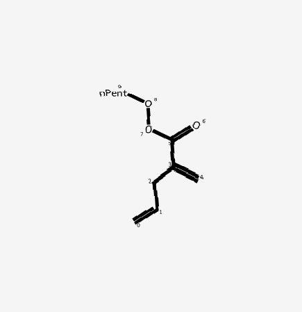 C=CCC(=C)C(=O)OOCCCCC